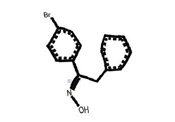 O/N=C(\Cc1ccccc1)c1ccc(Br)cc1